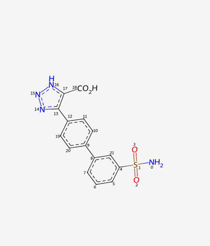 NS(=O)(=O)c1cccc(-c2ccc(-c3nn[nH]c3C(=O)O)cc2)c1